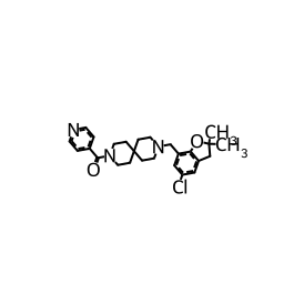 CC1(C)Cc2cc(Cl)cc(CN3CCC4(CC3)CCN(C(=O)c3ccncc3)CC4)c2O1